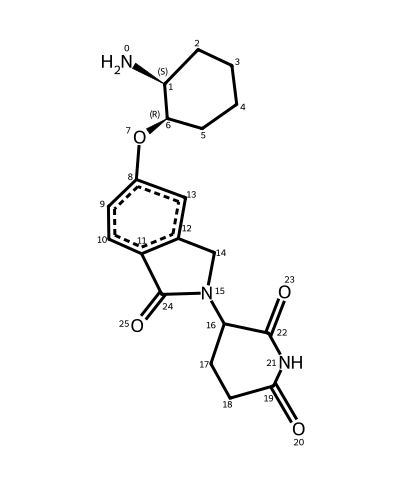 N[C@H]1CCCC[C@H]1Oc1ccc2c(c1)CN(C1CCC(=O)NC1=O)C2=O